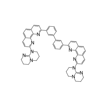 c1cc(-c2cccc(-c3ccc4ccc5ccc(N6CCCN7CCCN=C76)nc5c4n3)c2)cc(-c2ccc3ccc4ccc(N5CCCN6CCCN=C65)nc4c3n2)c1